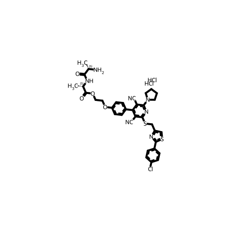 C[C@H](N)C(=O)N[C@@H](C)C(=O)OCCOc1ccc(-c2c(C#N)c(SCc3csc(-c4ccc(Cl)cc4)n3)nc(N3CCCC3)c2C#N)cc1.Cl.Cl